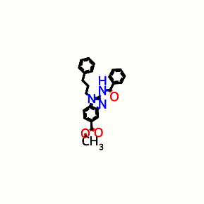 COC(=O)c1ccc2c(c1)nc(NC(=O)c1ccccc1)n2CCCc1ccccc1